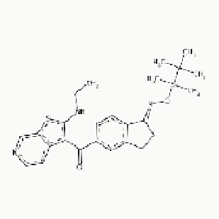 CCNc1sc2cnccc2c1C(=O)c1ccc2c(c1)CCC2=NO[Si](C)(C)C(C)(C)C